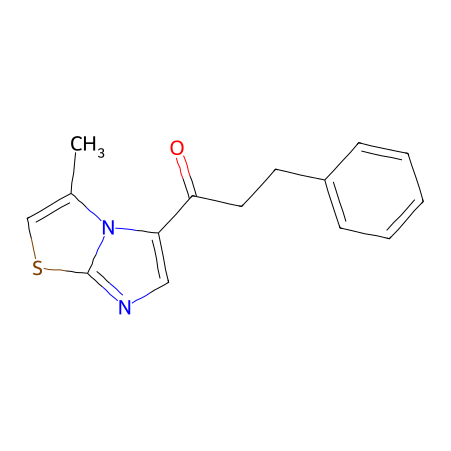 Cc1csc2ncc(C(=O)CCc3ccccc3)n12